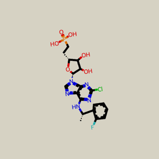 C[C@H](Nc1nc(Cl)nc2c1ncn2[C@@H]1O[C@H](CCP(=O)(O)O)C(O)C1O)c1ccccc1F